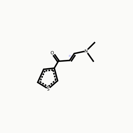 CN(C)/C=C/C(=O)c1ccsc1